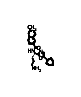 Cc1ccc2cc(C(=O)N[C@@H](CCCN)c3ncc(-c4ccccc4)o3)ccc2c1